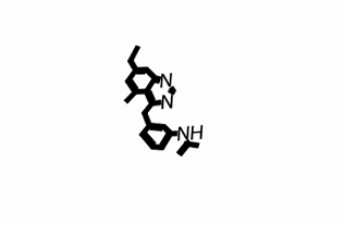 C=C(C)Nc1cccc(Cc2ncnc3cc(CC)cc(C)c23)c1